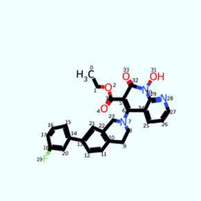 CCOC(=O)c1c(N2CCc3ccc(-c4cccc(F)c4)cc3C2)c2cccnc2n(O)c1=O